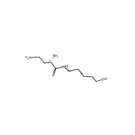 NCC[C@H](N)C(=O)NCCCCCC=O